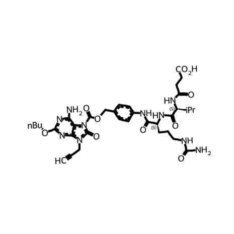 C#CCn1c(=O)n(C(=O)OCc2ccc(NC(=O)[C@H](CCCNC(N)=O)NC(=O)[C@@H](NC(=O)CCC(=O)O)C(C)C)cc2)c2c(N)nc(OCCCC)nc21